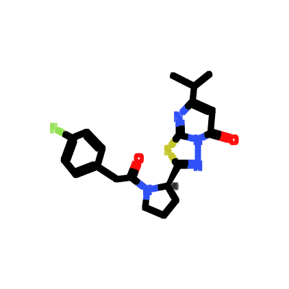 CC(C)c1cc(=O)n2nc([C@H]3CCCN3C(=O)Cc3ccc(F)cc3)sc2n1